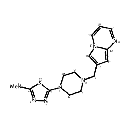 CNc1nnc(N2CCN(Cc3cc4ncccn4c3)CC2)s1